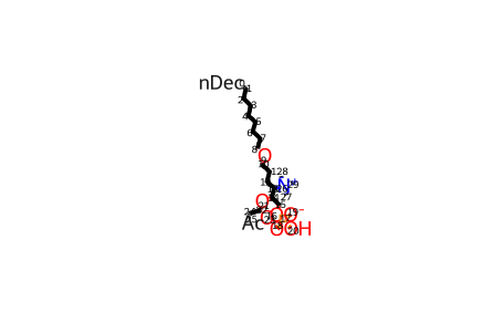 CCCCCCCCCCCCCCCCCCOCCCC(C(COP(=O)([O-])O)OC(=O)CC(C)=O)[N+](C)(C)C